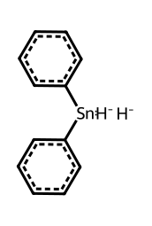 [H-].[H-].c1cc[c]([Sn][c]2ccccc2)cc1